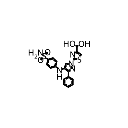 NS(=O)(=O)c1ccc(Nc2cn(-c3nc(C(O)O)cs3)nc2-c2ccccc2)cc1